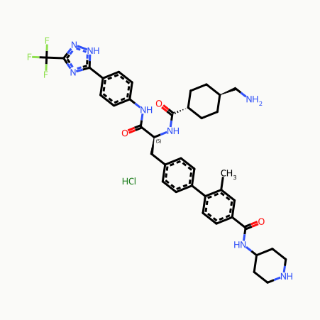 Cc1cc(C(=O)NC2CCNCC2)ccc1-c1ccc(C[C@H](NC(=O)[C@H]2CC[C@H](CN)CC2)C(=O)Nc2ccc(-c3nc(C(F)(F)F)n[nH]3)cc2)cc1.Cl